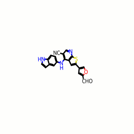 N#Cc1cnc2sc(-c3coc(C=O)c3)cc2c1Nc1ccc2[nH]ccc2c1